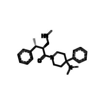 CNC[C@@H](C(=O)N1CCC(c2ccccc2)(N(C)C)CC1)[C@@H](C)c1ccccc1